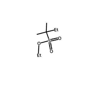 CCOS(=O)(=O)C(C)(C)CC